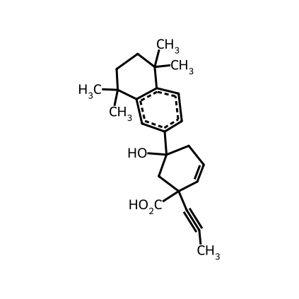 CC#CC1(C(=O)O)C=CCC(O)(c2ccc3c(c2)C(C)(C)CCC3(C)C)C1